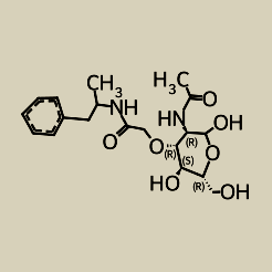 CC(=O)N[C@H]1C(O)O[C@H](CO)[C@@H](O)[C@@H]1OCC(=O)NC(C)Cc1ccccc1